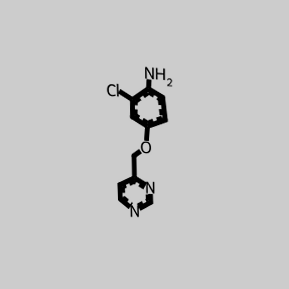 Nc1ccc(OCc2ccncn2)cc1Cl